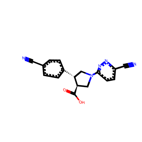 N#Cc1ccc([C@@H]2CN(c3ccc(C#N)nn3)C[C@H]2C(=O)O)cc1